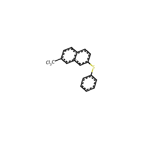 ClC(Cl)(Cl)c1ccc2ccc(Sc3ccccc3)cc2c1